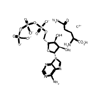 NC(=O)CCC(N)C(=O)O.Nc1ncnc2c1ncn2[C@@H]1O[C@H](COP(=O)([O-])OP(=O)([O-])OP(=O)([O-])[O-])[C@@H](O)[C@H]1O.[C+4]